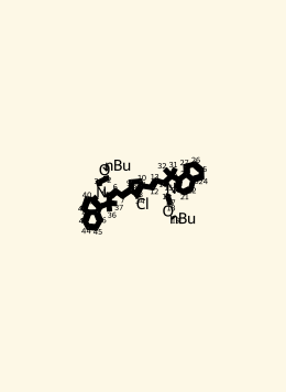 CCCCOCCN1/C(=C/C=C2\CCC(/C=C/C3=[N+](CCOCCCC)c4ccc5ccccc5c4C3(C)C)=C2Cl)C(C)(C)c2c1ccc1ccccc21